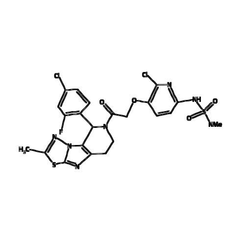 CNS(=O)(=O)Nc1ccc(OCC(=O)N2CCc3nc4sc(C)nn4c3C2c2ccc(Cl)cc2F)c(Cl)n1